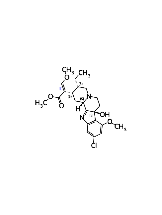 CC[C@@H]1CN2CC[C@@]3(O)C(=Nc4cc(Cl)cc(OC)c43)[C@@H]2C[C@@H]1/C(=C\OC)C(=O)OC